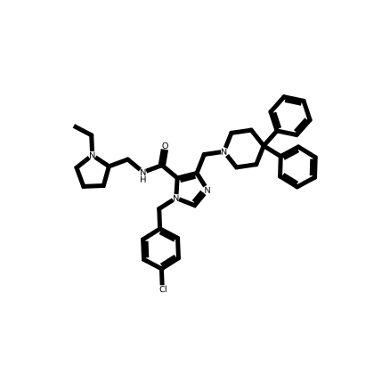 CCN1CCCC1CNC(=O)c1c(CN2CCC(c3ccccc3)(c3ccccc3)CC2)ncn1Cc1ccc(Cl)cc1